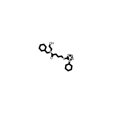 O=C(CCCSc1nnnn1C1CCCCC1)N(CCO)CC1CCCCC1